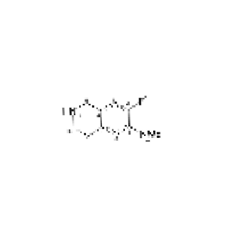 CNc1cc2c(cc1F)CNCC2